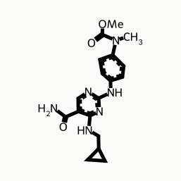 COC(=O)N(C)c1ccc(Nc2ncc(C(N)=O)c(NCC3CC3)n2)cc1